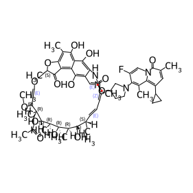 CO[C@H]1/C=C/O[C@@]2(C)Oc3c(C)c(O)c4c(O)c(c(/C=N/OC5CCN(c6c(F)cn7c(=O)c(C)cc(C8CC8)c7c6C)C5)c(O)c4c3C2=O)NC(=O)/C(C)=C\C=C\[C@H](C)[C@H](O)[C@@H](C)[C@@H](O)[C@@H](C)[C@H](OC(C)=O)[C@@H]1C